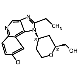 CCc1nc2cnc3ccc(Cl)cc3c2n1[C@@H]1CCO[C@H](CO)C1